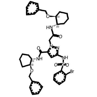 O=C(Cn1nc(NS(=O)(=O)c2ccccc2Br)cc1C(=O)N[C@H]1CCCC[C@@H]1OCc1ccccc1)N[C@H]1CCCC[C@@H]1OCc1ccccc1